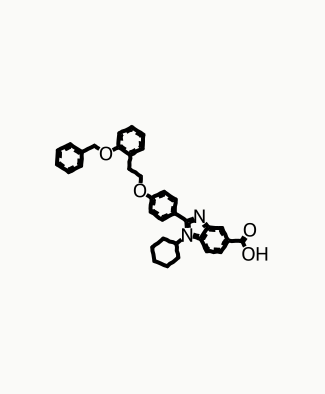 O=C(O)c1ccc2c(c1)nc(-c1ccc(OCCc3ccccc3OCc3ccccc3)cc1)n2C1CCCCC1